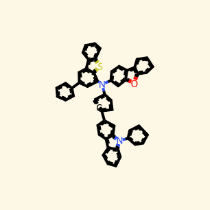 c1ccc(-c2cc(N(c3ccc(-c4ccc5c6ccccc6n(-c6ccccc6)c5c4)cc3)c3ccc4c(c3)oc3ccccc34)c3sc4ccccc4c3c2)cc1